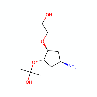 CC(C)(O)O[C@H]1C[C@H](N)C[C@@H]1OCCO